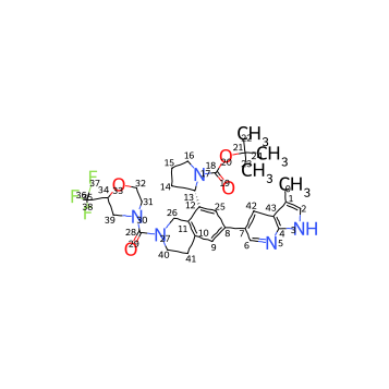 Cc1c[nH]c2ncc(-c3cc4c(c([C@@H]5CCCN5C(=O)OC(C)(C)C)c3)CN(C(=O)N3CCOC(C(F)(F)F)C3)CC4)cc12